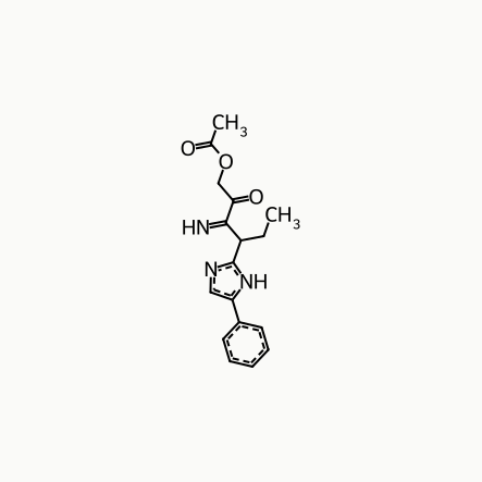 CCC(C(=N)C(=O)COC(C)=O)c1ncc(-c2ccccc2)[nH]1